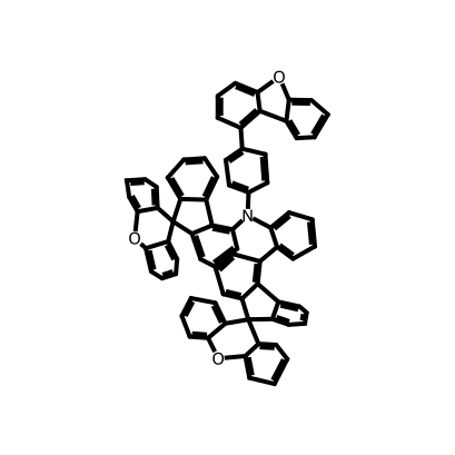 c1ccc2c(c1)Oc1ccccc1C21c2ccccc2-c2c(-c3ccccc3N(c3ccc(-c4cccc5oc6ccccc6c45)cc3)c3cccc4c3-c3ccccc3C43c4ccccc4Oc4ccccc43)cccc21